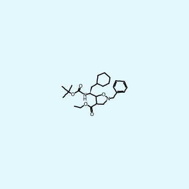 CCOC(=O)C1CN(Cc2ccccc2)OC1[C@H](CC1CCCCC1)NC(=O)OC(C)(C)C